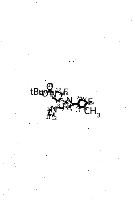 Cc1cc(-c2cn(CCN3CCC3)c([C@@H]3CCN(C(=O)OC(C)(C)C)C[C@@H]3F)n2)ccc1F